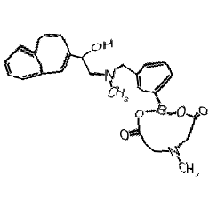 CN1CC(=O)OB(c2cccc(CN(C)CC(O)c3ccc4ccccc4c3)c2)OC(=O)C1